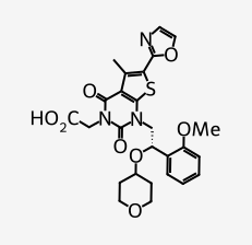 COc1ccccc1[C@@H](Cn1c(=O)n(CC(=O)O)c(=O)c2c(C)c(-c3ncco3)sc21)OC1CCOCC1